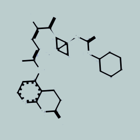 C=C(/C(O)=C\C=C(/C)Oc1ccnc2c1CCC(=O)N2)[C@@H]1[C@@H]2C[C@@]12NC(=O)NC1CCCCC1